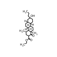 CCC[C@@]1(O)CC[C@H]2[C@H](CC[C@@H]3[C@@H]2CC[C@]2(C)C(=O)C(C(=O)OCC)C[C@@H](C)[C@@H]32)C1